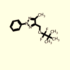 Cc1nn(-c2ccccc2)nc1COC(F)(F)C(C)(C)C